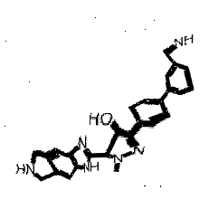 CN1N=C(c2ccc(-c3cccc(C=N)c3)cc2)C(O)C1c1nc2cc3c(cc2[nH]1)CNC3